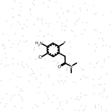 CN(C)C(=O)Cc1cc(Cl)c(N)cc1F